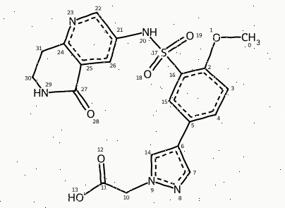 COc1ccc(-c2cnn(CC(=O)O)c2)cc1S(=O)(=O)Nc1cnc2c(c1)C(=O)NCC2